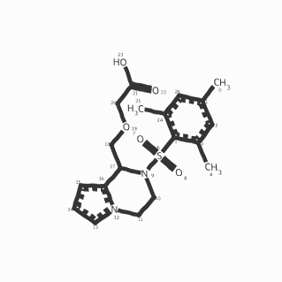 Cc1cc(C)c(S(=O)(=O)N2CCn3cccc3C2COCC(=O)O)c(C)c1